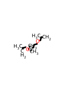 C=C(C)COCCC[Si](C)(C)OCC(=C)C